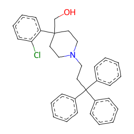 OCC1(c2ccccc2Cl)CCN(CCC(c2ccccc2)(c2ccccc2)c2ccccc2)CC1